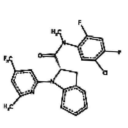 Cc1cc(C(F)(F)F)cc(N2c3ccccc3C[C@H]2C(=O)N(C)c2cc(Cl)c(F)cc2F)n1